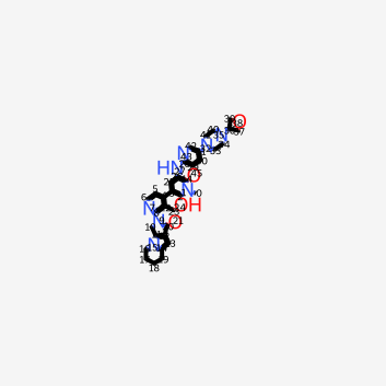 Cn1cc(-c2ccnc(N3Cc4c(cc5n4CCCC5)C3=O)c2CO)cc(Nc2ccc(N3CCN(C4COC4)CC3)cn2)c1=O